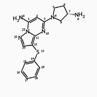 Nc1cc(N2CC[C@H](N)C2)nc2c(Sc3ccccc3)cnn12